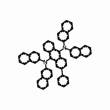 c1ccc(-c2ccc3c(N(c4ccc5ccccc5c4)c4ccc5ccccc5c4)c4ccccc4c(N(c4ccc5ccccc5c4)c4ccc5ccccc5c4)c3c2)cc1